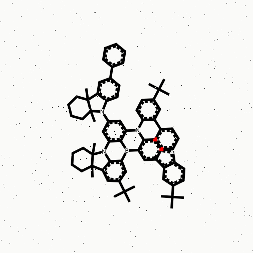 CC(C)(C)c1ccc(N2c3cc4sc5ccc(C(C)(C)C)cc5c4cc3B3c4cc(C(C)(C)C)cc5c4N(c4cc(N6c7ccc(-c8ccccc8)cc7C7(C)CCCCC67C)cc2c43)C2(C)CCCCC52C)c(-c2ccccc2)c1